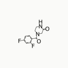 O=C1CN(C(=O)c2ccc(F)cc2F)CCN1